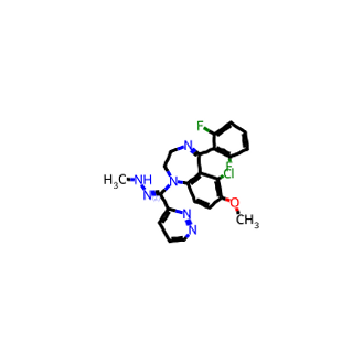 CN/N=C(/c1cccnn1)N1CCN=C(c2c(F)cccc2F)c2c1ccc(OC)c2Cl